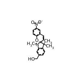 CN1c2cc(CO)ccc2C(C)(C)[C@]12C=Cc1cc([N+](=O)[O-])ccc1O2